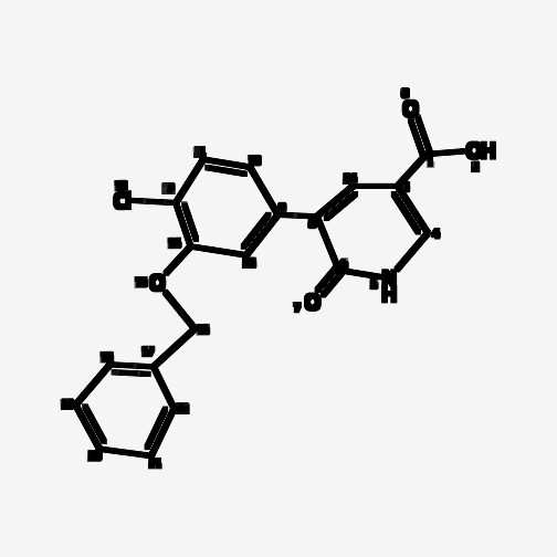 O=C(O)c1c[nH]c(=O)c(-c2ccc(Cl)c(OCc3ccccc3)c2)c1